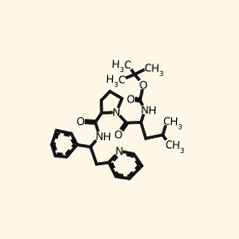 CC(C)CC(NC(=O)OC(C)(C)C)C(=O)N1CCCC1C(=O)NC(Cc1ccccn1)c1ccccc1